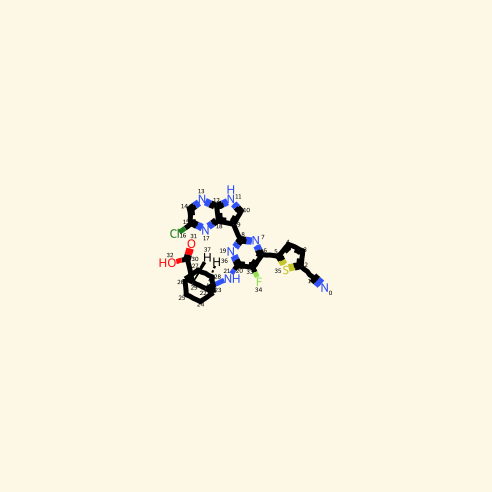 N#Cc1ccc(-c2nc(-c3c[nH]c4ncc(Cl)nc34)nc(N[C@H]3C4CCC(CC4)[C@@H]3C(=O)O)c2F)s1